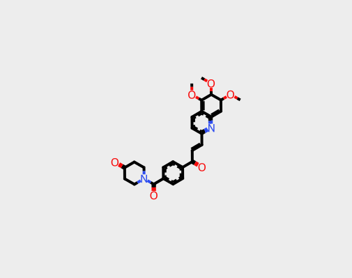 COC1=c2ccc(/C=C/C(=O)c3ccc(C(=O)N4CCC(=O)CC4)cc3)nc2=CC(OC)C1OC